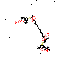 CC(CSc1cc(C(C)(C)C)c(O)c(C(C)(C)C)c1)OC(=O)CCCCCCCCC(=O)OC(C)CSc1cc(C(C)(C)C)c(O)c(C(C)(C)C)c1